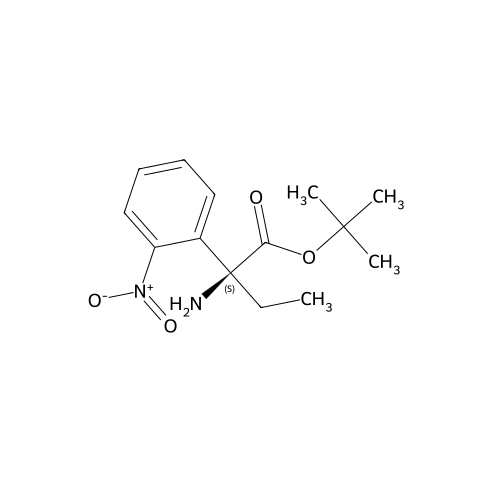 CC[C@@](N)(C(=O)OC(C)(C)C)c1ccccc1[N+](=O)[O-]